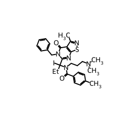 CCC(I)(c1nc2snc(C)c2c(=O)n1Cc1ccccc1)N(CCCN(C)C)C(=O)c1ccc(C)cc1